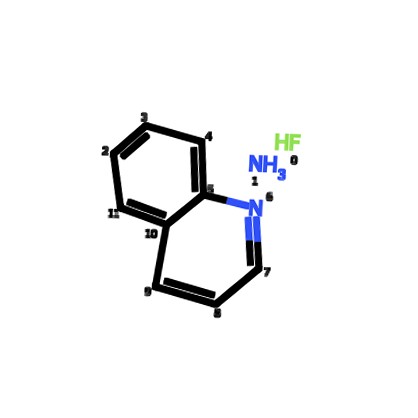 F.N.c1ccc2ncccc2c1